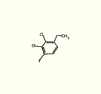 CCc1ccc(I)c(Cl)c1Cl